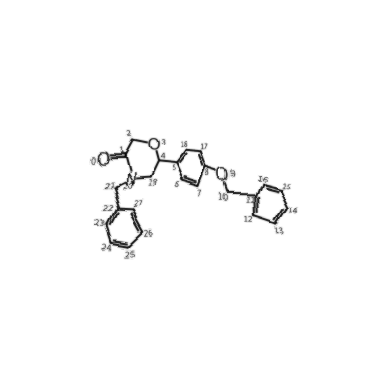 O=C1COC(c2ccc(OCc3ccccc3)cc2)CN1Cc1ccccc1